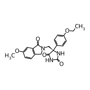 CCOc1ccc([C@]2(CN3Cc4ccc(OC)cc4C3=O)NC(=O)NC2=O)cc1